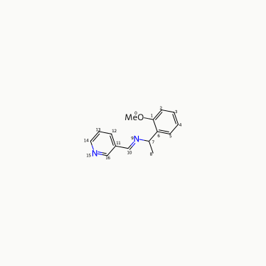 COc1ccccc1C(C)N=Cc1cccnc1